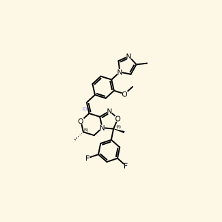 COc1cc(/C=C2/O[C@@H](C)CN3C2=NO[C@]3(C)c2cc(F)cc(F)c2)ccc1-n1cnc(C)c1